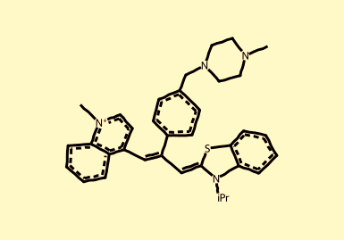 CC(C)N1/C(=C/C(=C/c2cc[n+](C)c3ccccc23)c2ccc(CN3CCN(C)CC3)cc2)Sc2ccccc21